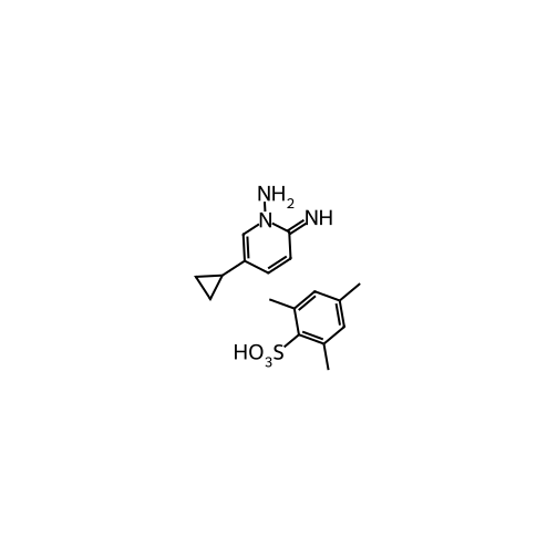 Cc1cc(C)c(S(=O)(=O)O)c(C)c1.N=c1ccc(C2CC2)cn1N